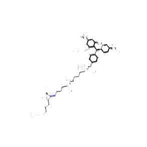 CCCCCCCCCCCCCC1OC(=O)/C1=C\CCCC(=O)NCCCCCNC(=O)c1ccc(-c2c3ccc(=[N+](C)C)cc-3oc3cc(N(C)C)ccc23)c(C(=O)[O-])c1